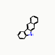 [c]1[c]c2c(cc1)[nH]c1cc3ccccc3cc12